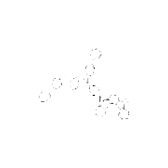 CC1(C)c2ccc(-c3ccccc3)cc2-c2ccc(N(c3ccc(-c4ccccc4)cc3)c3ccc(-n4c5ccccc5c5c6c(ccc54)oc4ccccc46)cc3)cc21